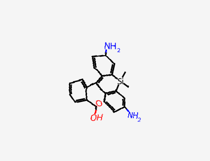 C[Si]1(C)C2=CC(N)C=CC2=C(c2ccccc2C(=O)O)c2ccc(N)cc21